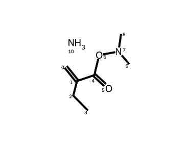 C=C(CC)C(=O)ON(C)C.N